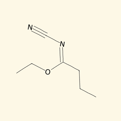 CCCC(=NC#N)OCC